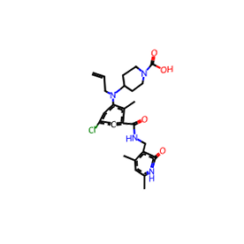 C=CCN(c1cc(Cl)cc(C(=O)NCc2c(C)cc(C)[nH]c2=O)c1C)C1CCN(C(=O)O)CC1